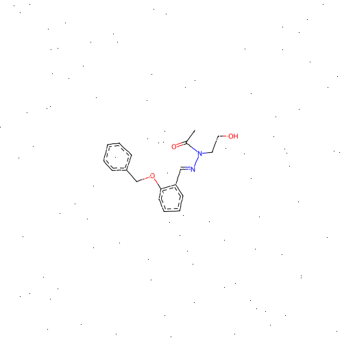 CC(=O)N(CCO)/N=C/c1ccccc1OCc1ccccc1